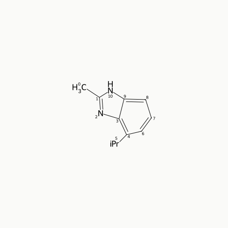 Cc1nc2c(C(C)C)cccc2[nH]1